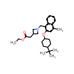 CCOC(=O)CC1CN(Cc2c(OC3CCC(C(C)(C)C)CC3)cc(C)c3ccccc23)C1